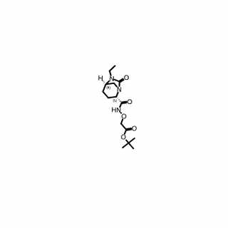 CCN1C(=O)N2C[C@H]1CC[C@H]2C(=O)NOCC(=O)OC(C)(C)C